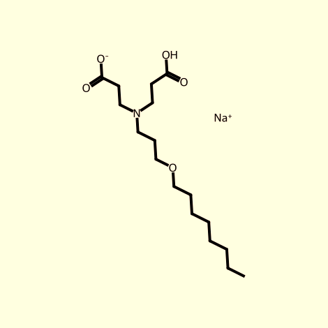 CCCCCCCCOCCCN(CCC(=O)[O-])CCC(=O)O.[Na+]